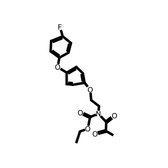 CCOC(=O)N(CCOc1ccc(Oc2ccc(F)cc2)cc1)C(=O)C(C)=O